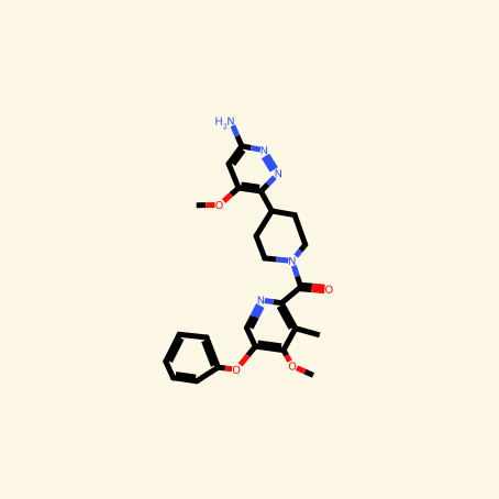 COc1cc(N)nnc1C1CCN(C(=O)c2ncc(Oc3ccccc3)c(OC)c2C)CC1